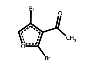 CC(=O)c1c(Br)coc1Br